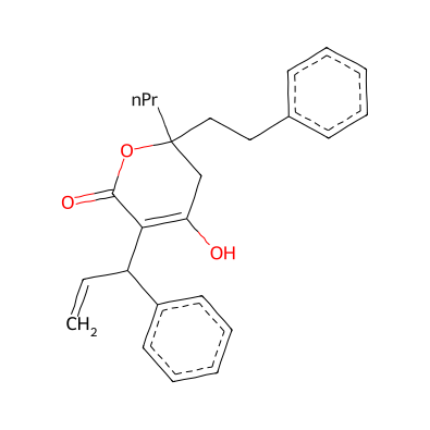 C=CC(C1=C(O)CC(CCC)(CCc2ccccc2)OC1=O)c1ccccc1